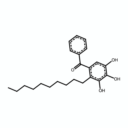 CCCCCCCCCCc1c(C(=O)c2ccccc2)cc(O)c(O)c1O